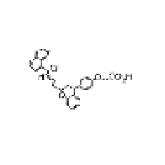 O=C(O)COc1ccc(C2CC(CCNC(Cl)c3cccc4ccccc34)Oc3ccccc32)cc1